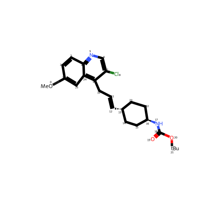 COc1ccc2ncc(Cl)c(CC=C[C@H]3CC[C@H](NC(=O)OC(C)(C)C)CC3)c2c1